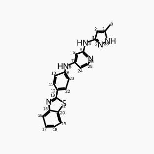 Cc1cc(Nc2cc(Nc3ccc(-c4nc5ccccc5s4)cc3)ccn2)n[nH]1